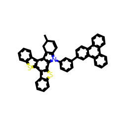 CC1C=Cc2c(c3c4c5ccccc5sc4c4c5ccccc5sc4c3n2-c2cccc(-c3ccc4c5ccccc5c5ccccc5c4c3)c2)C1